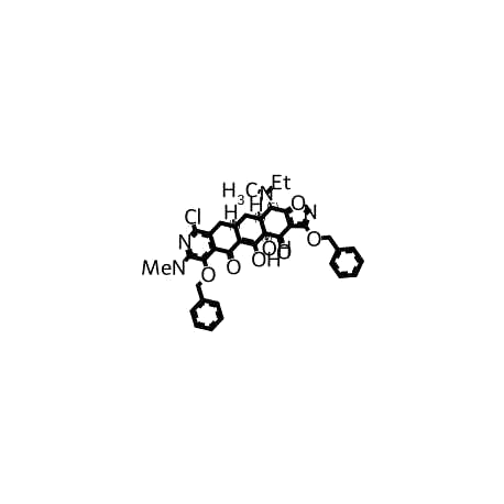 CCN(C)[C@@H]1c2onc(OCc3ccccc3)c2C(=O)[C@@]2(O)C(O)=C3C(=O)c4c(c(Cl)nc(NC)c4OCc4ccccc4)C[C@H]3C[C@@H]12